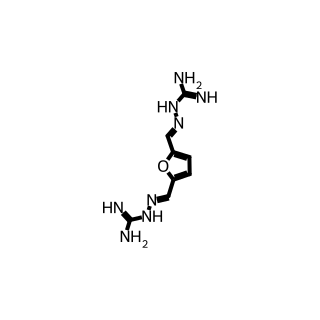 N=C(N)N/N=C/c1ccc(/C=N/NC(=N)N)o1